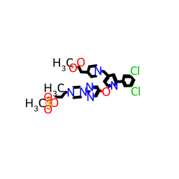 COC(=O)CC1CCN(Cc2cc(Oc3cnc(N4CCN(C(C)CCOS(C)(=O)=O)CC4)nc3)nc(-c3cc(Cl)cc(Cl)c3)c2)CC1